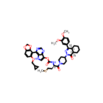 COc1ccc(C2=NN(C3CCN(C(=O)[C@@H](CCSC)NC(=O)Oc4c[nH]c5c(-c6c(OCC7CC7)ccc7c6OCO7)ncnc45)CC3)C(=O)[C@@H]3CCCC[C@H]23)cc1OC